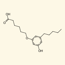 CCCCCc1cc(O)cc(OCCCCCC(=O)O)c1